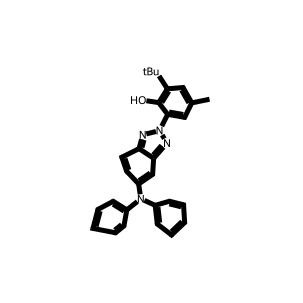 Cc1cc(-n2nc3ccc(N(c4ccccc4)c4ccccc4)cc3n2)c(O)c(C(C)(C)C)c1